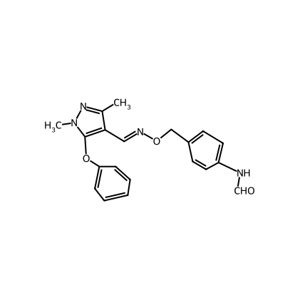 Cc1nn(C)c(Oc2ccccc2)c1C=NOCc1ccc(NC=O)cc1